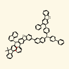 CC1(C)c2ccccc2-c2ccc(N(c3cc4oc5ccc(-c6ccc7ccc(N(c8ccc(-c9ccccc9)cc8)c8ccc(-c9cc%10oc%11ccccc%11c%10cc9-c9ccccc9)cc8)cc7c6)cc5c4cc3-c3ccccc3)c3cccc4ccccc34)cc21